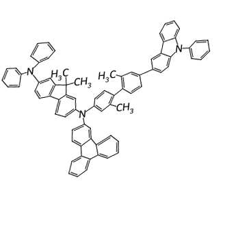 Cc1cc(-c2ccc3c(c2)c2ccccc2n3-c2ccccc2)ccc1-c1ccc(N(c2ccc3c(c2)C(C)(C)c2cc(N(c4ccccc4)c4ccccc4)ccc2-3)c2ccc3c4ccccc4c4ccccc4c3c2)cc1C